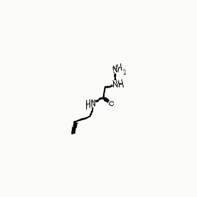 C=CCNC(=O)CNN